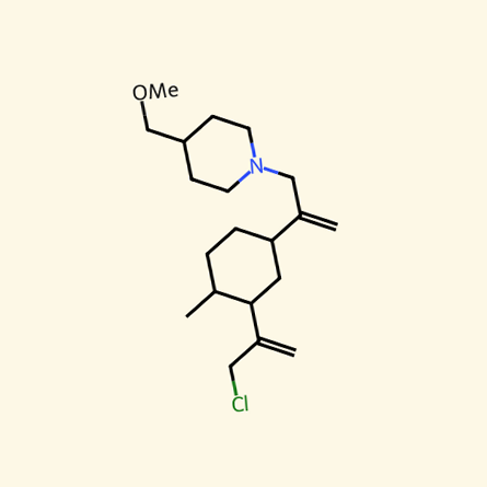 C=C(CN1CCC(COC)CC1)C1CCC(C)C(C(=C)CCl)C1